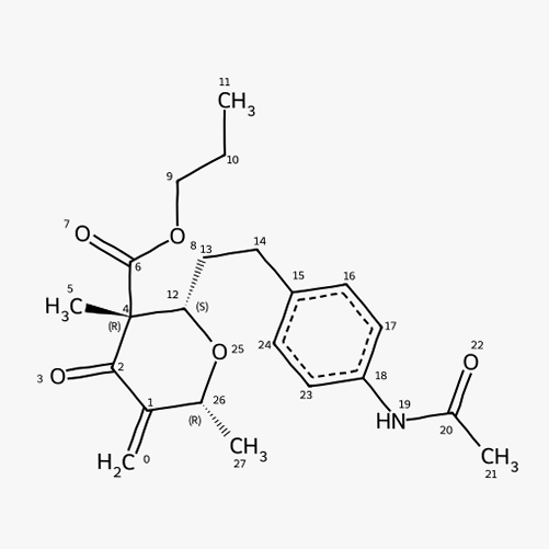 C=C1C(=O)[C@](C)(C(=O)OCCC)[C@H](CCc2ccc(NC(C)=O)cc2)O[C@@H]1C